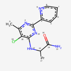 Cc1nc(-c2ccccn2)nc(NC(C(N)=O)C(C)C)c1Cl